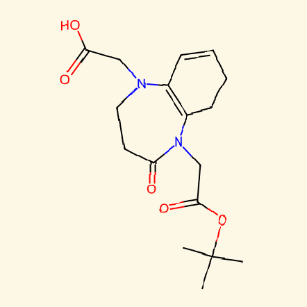 CC(C)(C)OC(=O)CN1C(=O)CCN(CC(=O)O)C2=C1CCC=C2